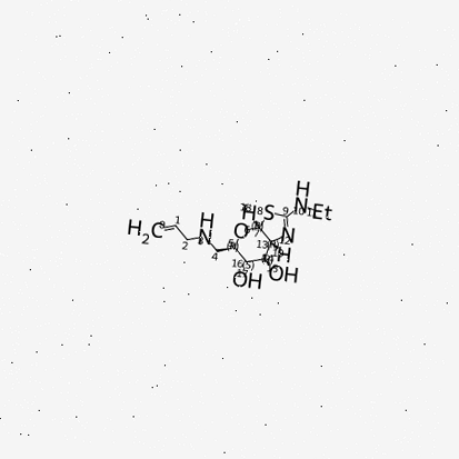 C=CCNC[C@H]1O[C@@H]2SC(NCC)=N[C@@H]2[C@@H](O)[C@@H]1O